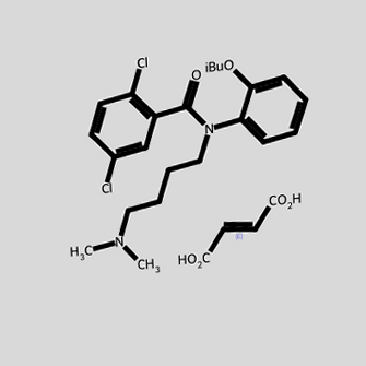 CC(C)COc1ccccc1N(CCCCN(C)C)C(=O)c1cc(Cl)ccc1Cl.O=C(O)/C=C/C(=O)O